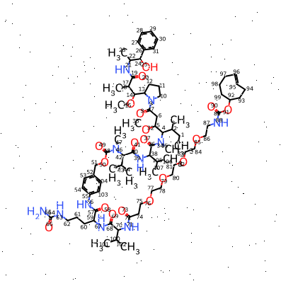 CCC(C)C(C(CC(=O)N1CCCC1C(OC)C(C)C(=O)NC(C)C(O)c1ccccc1)OC)N(C)C(=O)C(NC(=O)[C@@H](C(C)C)N(C)C(=O)OCc1ccc(NC(=O)C(CCCNC(N)=O)NC(=O)C(NC(=O)CCOCCOCCOCCOCCNC(=O)OC2CC/C=C/CCC2)C(C)C)cc1)C(C)C